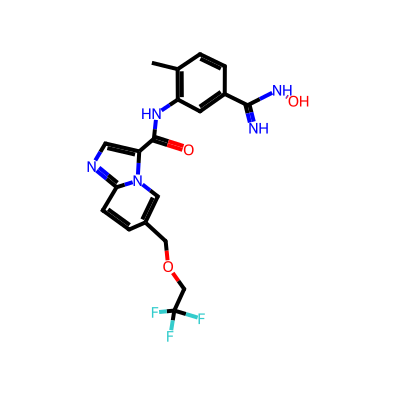 Cc1ccc(C(=N)NO)cc1NC(=O)c1cnc2ccc(COCC(F)(F)F)cn12